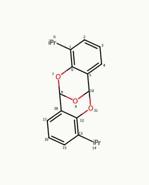 CC(C)c1cccc2c1OC1OC2Oc2c(C(C)C)cccc21